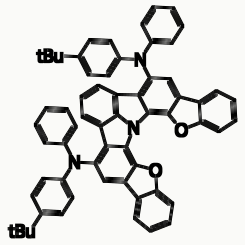 CC(C)(C)c1ccc(N(c2ccccc2)c2cc3c4ccccc4oc3c3c2c2cccc4c5c(N(c6ccccc6)c6ccc(C(C)(C)C)cc6)cc6c7ccccc7oc6c5n3c24)cc1